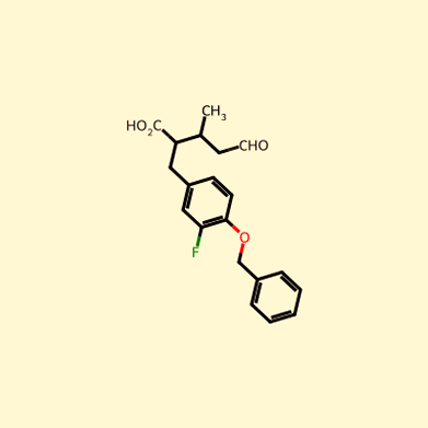 CC(CC=O)C(Cc1ccc(OCc2ccccc2)c(F)c1)C(=O)O